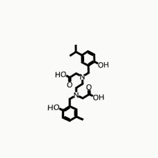 Cc1ccc(O)c(CN(CCN(CC(=O)O)Cc2cc(C(C)C)ccc2O)CC(=O)O)c1